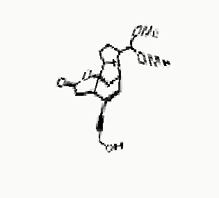 COC(OC)C1CCC2N1C1C=C(C#CCO)C3=CC(=O)OC32C1